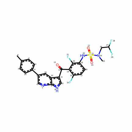 Cc1ccc(-c2cnc3[nH]cc(C(=O)c4c(F)ccc(NS(=O)(=O)N(C)CC(F)F)c4F)c3c2)cc1